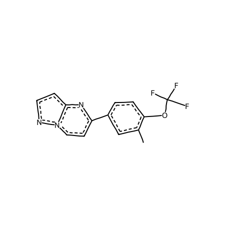 Cc1cc(-c2ccn3nccc3n2)ccc1OC(F)(F)F